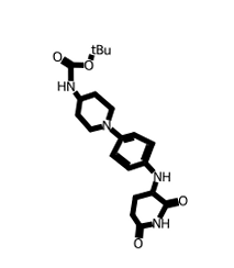 CC(C)(C)OC(=O)NC1CCN(c2ccc(NC3CCC(=O)NC3=O)cc2)CC1